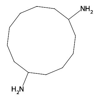 NC1CCCCCCC(N)CCCC1